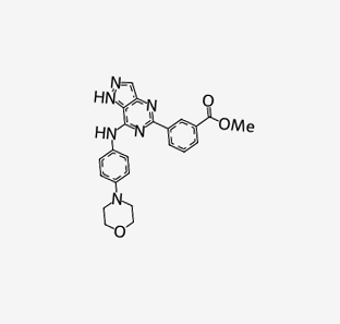 COC(=O)c1cccc(-c2nc(Nc3ccc(N4CCOCC4)cc3)c3[nH]ncc3n2)c1